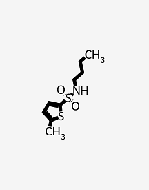 CCCCNS(=O)(=O)c1ccc(C)s1